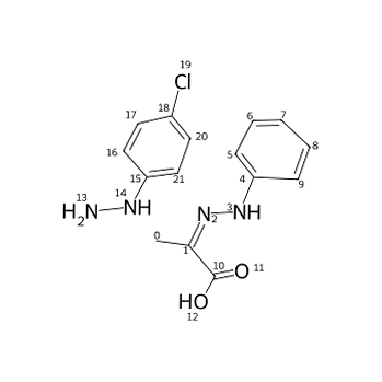 CC(=NNc1ccccc1)C(=O)O.NNc1ccc(Cl)cc1